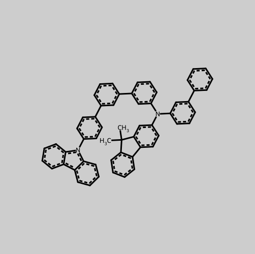 CC1(C)c2ccccc2-c2ccc(N(c3cccc(-c4ccccc4)c3)c3cccc(-c4cccc(-c5ccc(-n6c7ccccc7c7ccccc76)cc5)c4)c3)cc21